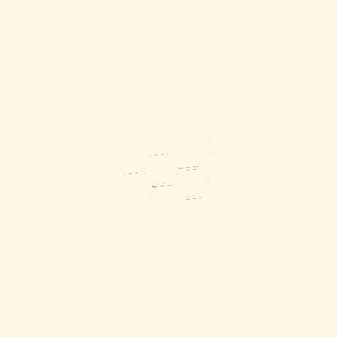 O=c1c2cccc(S(=O)(=O)Cl)c2ccn1C(F)F